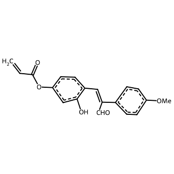 C=CC(=O)Oc1ccc(/C=C(\C=O)c2ccc(OC)cc2)c(O)c1